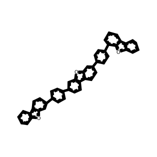 c1ccc2c(c1)oc1cc(-c3ccc(-c4ccc5c(c4)oc4cc(-c6ccc(-c7cccc8c7oc7ccccc78)cc6)ccc45)cc3)ccc12